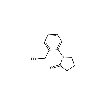 NCc1ccccc1N1CCCC1=O